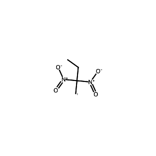 [CH]C(CC)([N+](=O)[O-])[N+](=O)[O-]